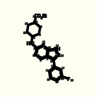 CCOC(=O)N1CCC(Nc2ncc3c(-c4cccc(F)c4)n[nH]c3n2)CC1